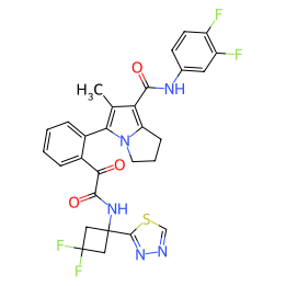 Cc1c(C(=O)Nc2ccc(F)c(F)c2)c2n(c1-c1ccccc1C(=O)C(=O)NC1(c3nncs3)CC(F)(F)C1)CCC2